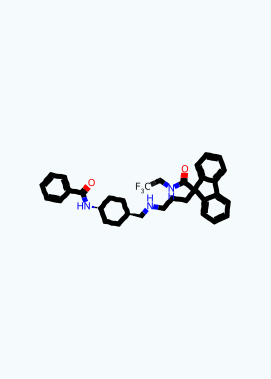 O=C(N[C@H]1CC[C@H](CNCCCC2(C(=O)NCC(F)(F)F)c3ccccc3-c3ccccc32)CC1)c1ccccc1